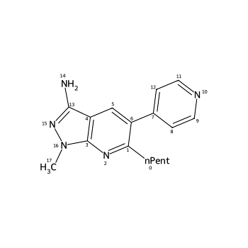 CCCCCc1nc2c(cc1-c1ccncc1)c(N)nn2C